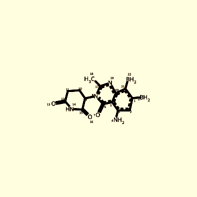 Bc1cc(N)c2c(=O)n(C3CCC(=O)NC3=O)c(C)nc2c1B